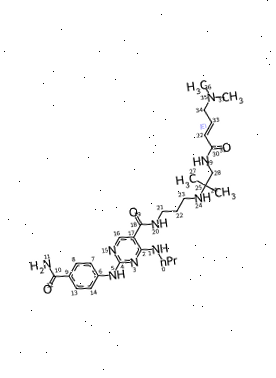 CCCNc1nc(Nc2ccc(C(N)=O)cc2)ncc1C(=O)NCCCNC(C)(C)CNC(=O)/C=C/CN(C)C